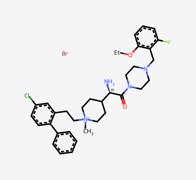 CCOc1cccc(F)c1CN1CCN(C(=O)[C@H](N)C2CC[N+](C)(CCc3cc(Cl)ccc3-c3ccccc3)CC2)CC1.[Br-]